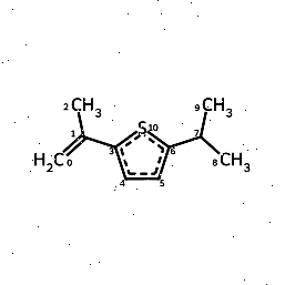 C=C(C)c1ccc(C(C)C)s1